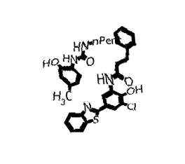 CCCCCNC(=O)Nc1ccc(C)cc1O.O=C(CCc1ccccc1)Nc1cc(-c2nc3ccccc3s2)cc(Cl)c1O